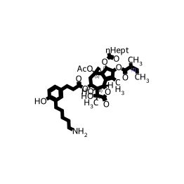 C/C=C(/C)C(=O)OC1C(C)=C2[C@@H]3OC(=O)[C@@](C)(O)[C@@]3(O)C(OC(=O)CCc3ccc(O)c(CCCCCN)c3)C[C@@]3(OC(C)=O)C[C@]23[C@@H]1OC(=O)CCCCCCC